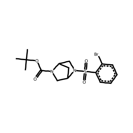 CC(C)(C)OC(=O)N1CC2CC1CN2S(=O)(=O)c1ccccc1Br